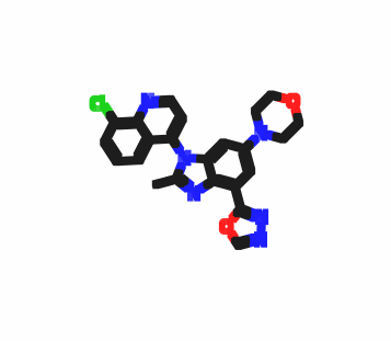 Cc1nc2c(-c3nnco3)cc(N3CCOCC3)cc2n1-c1ccnc2c(Cl)cccc12